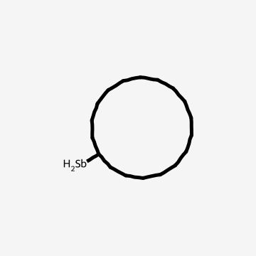 [SbH2][CH]1CCCCCCCCCCCCCCCCC1